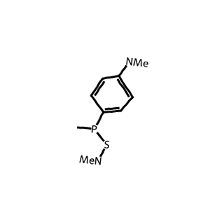 CNSP(C)c1ccc(NC)cc1